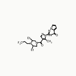 CCC1CN(C(=O)c2cnn(-c3nn4cccc4c(=O)[nH]3)c2C)CC(CC)N1CCC(F)(F)F